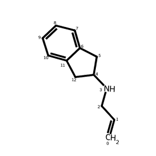 C=CCNC1Cc2ccccc2C1